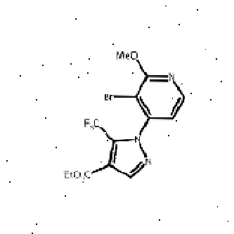 CCOC(=O)c1cnn(-c2ccnc(OC)c2Br)c1C(F)(F)F